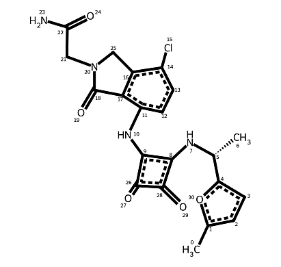 Cc1ccc([C@@H](C)Nc2c(Nc3ccc(Cl)c4c3C(=O)N(CC(N)=O)C4)c(=O)c2=O)o1